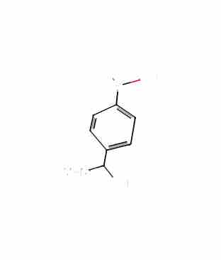 CNC(C)c1ccc(B(O)O)cc1